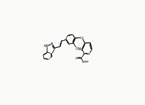 CNC(=O)c1cc(Oc2ccc(/C=C/c3n[nH]c4ccccc34)cc2OC)ccn1